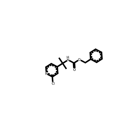 CC(C)(NC(=O)OCc1ccccc1)c1ccnc(Cl)c1